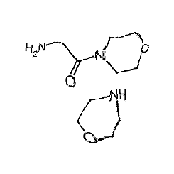 C1COCCN1.NCC(=O)N1CCOCC1